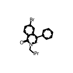 CC(C)Cn1[c]c(-c2ccccc2)c2cc(Br)ccc2c1=O